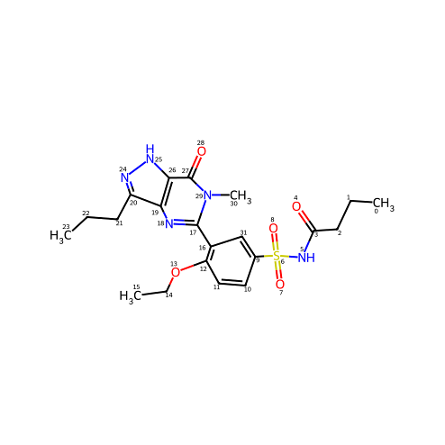 CCCC(=O)NS(=O)(=O)c1ccc(OCC)c(-c2nc3c(CCC)n[nH]c3c(=O)n2C)c1